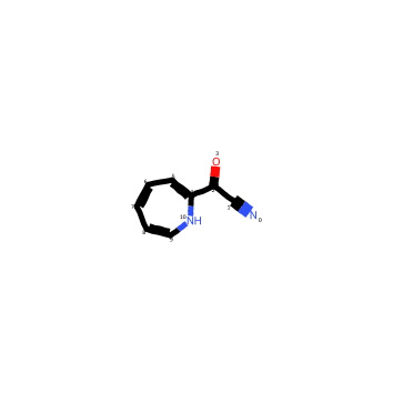 N#CC(=O)C1=CC=CC=CN1